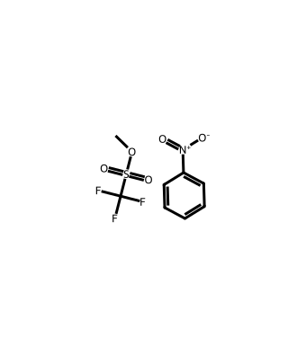 COS(=O)(=O)C(F)(F)F.O=[N+]([O-])c1ccccc1